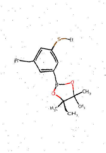 CCSc1cc(B2OC(C)(C)C(C)(C)O2)cc(C(C)C)c1